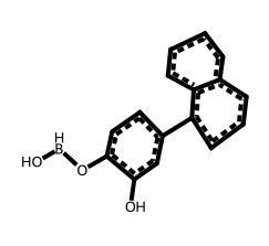 OBOc1ccc(-c2cccc3ccccc23)cc1O